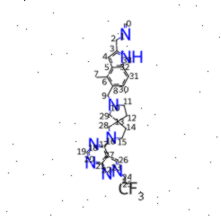 C=NCc1cc2c(C)c(CN3CCC4(CCN(c5ncnc6nn(CC(F)(F)F)cc56)C4)C3)ccc2[nH]1